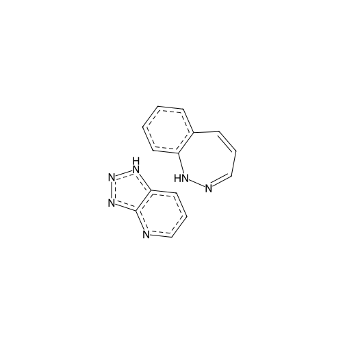 C1=Cc2ccccc2NN=C1.c1cnc2nn[nH]c2c1